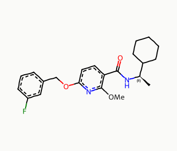 COc1nc(OCc2cccc(F)c2)ccc1C(=O)N[C@H](C)C1CCCCC1